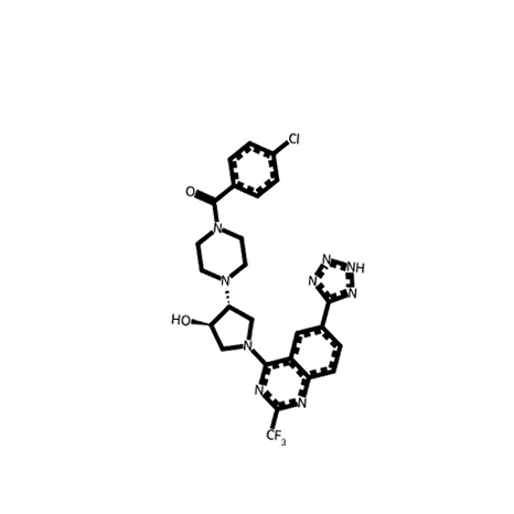 O=C(c1ccc(Cl)cc1)N1CCN([C@@H]2CN(c3nc(C(F)(F)F)nc4ccc(-c5nn[nH]n5)cc34)C[C@H]2O)CC1